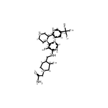 NC(=O)CN1CCC(CNc2ncnc(N3CCOCC3c3ccc(C(F)(F)F)cn3)c2F)C(F)C1